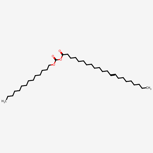 CCCCCCCCC=CCCCCCCCCCCCC(=O)OC(=O)OCCCCCCCCCCCCCC